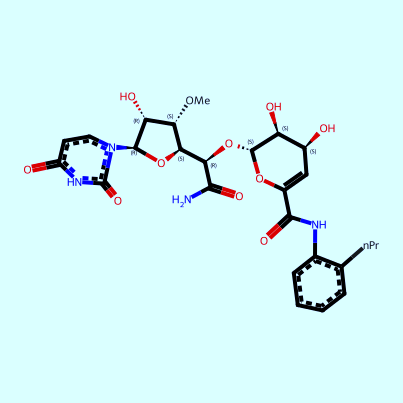 CCCc1ccccc1NC(=O)C1=C[C@H](O)[C@H](O)[C@@H](O[C@@H](C(N)=O)[C@H]2O[C@@H](n3ccc(=O)[nH]c3=O)[C@H](O)[C@@H]2OC)O1